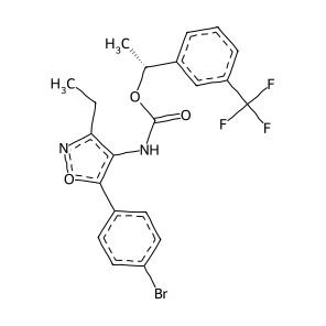 CCc1noc(-c2ccc(Br)cc2)c1NC(=O)O[C@H](C)c1cccc(C(F)(F)F)c1